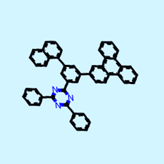 c1ccc(-c2nc(-c3ccccc3)nc(-c3cc(-c4ccc5c6ccccc6c6ccccc6c5c4)cc(-c4cccc5ccccc45)c3)n2)cc1